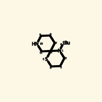 CC(C)(C)N1CCCSC12CCCNC2